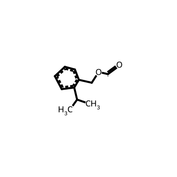 CC(C)c1ccccc1CO[C]=O